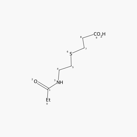 CCC(=O)NCCSCCC(=O)O